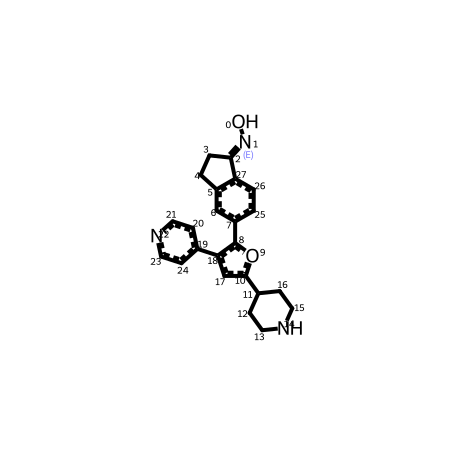 O/N=C1\CCc2cc(-c3oc(C4CCNCC4)cc3-c3ccncc3)ccc21